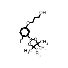 CC1(C)OB(c2cc(OCCCO)ccc2F)OC1(C)C